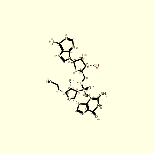 Nc1nc2c(ncn2[C@@H]2O[C@H](CCO)[C@H](F)[C@H]2[P@](=O)(S)OC[C@H]2O[C@@H](n3cnc4c(N)ncnc43)[C@@H](F)[C@@H]2O)c(=O)[nH]1